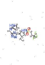 CC[C@@H]1CC(NS(=O)(=O)CCC(F)(F)F)CC1c1nnc2cnc3[nH]ccc3n12